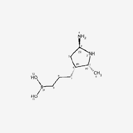 C[C@H]1N[C@H](N)C[C@H]1CCCB(O)O